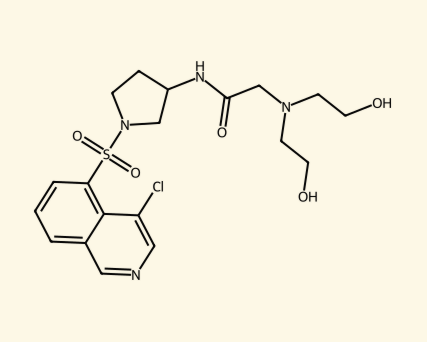 O=C(CN(CCO)CCO)NC1CCN(S(=O)(=O)c2cccc3cncc(Cl)c23)C1